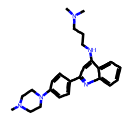 CN(C)CCCNc1cc(-c2ccc(N3CCN(C)CC3)cc2)nc2ccccc12